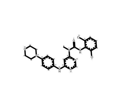 CN(C(=O)Nc1c(Cl)cccc1Cl)c1cc(Nc2ccc(N3CCOCC3)cc2)ncn1